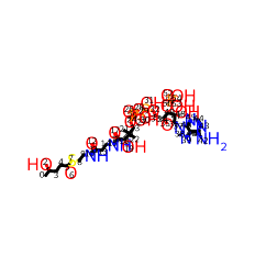 CC(O)CCC(=O)SCCNC(=O)CCNC(=O)[C@H](O)C(C)(C)COP(=O)(O)OP(=O)(O)OC[C@H]1O[C@@H](n2cnc3c(N)ncnc32)[C@H](O)[C@@H]1OP(=O)(O)O